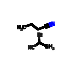 CCC([SiH3])C#N.CCCC#N